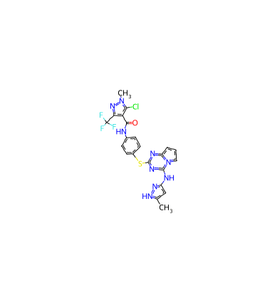 Cc1cc(Nc2nc(Sc3ccc(NC(=O)c4c(C(F)(F)F)nn(C)c4Cl)cc3)nc3cccn23)n[nH]1